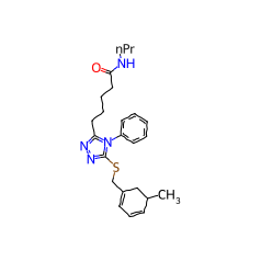 CCCNC(=O)CCCCc1nnc(SCC2=CC=CC(C)C2)n1-c1ccccc1